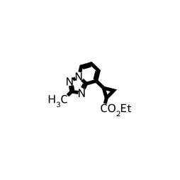 CCOC(=O)C1CC1c1cccn2nc(C)nc12